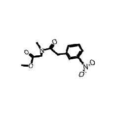 COC(=O)CN(C)C(=O)Cc1cccc([N+](=O)[O-])c1